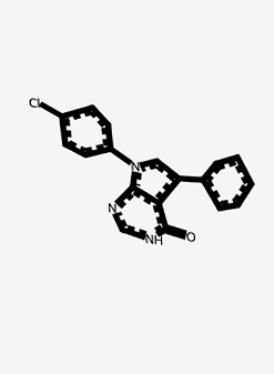 O=c1[nH]cnc2c1c(-c1ccccc1)cn2-c1ccc(Cl)cc1